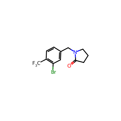 O=C1CCCN1Cc1ccc(C(F)(F)F)c(Br)c1